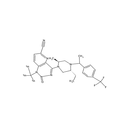 [2H]C([2H])([2H])n1c(=O)nc(N2C[C@@H](CC)N(C(C)c3ccc(C(F)(F)F)cc3)C[C@@H]2C)c2nc(C#N)ccc21